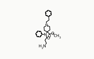 COC(=O)C1(N(C(=O)CCN)c2ccccc2)CCN(CCc2ccccc2)CC1